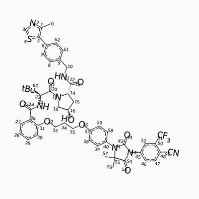 Cc1ncsc1-c1ccc(CNC(=O)[C@@H]2C[C@@H](O)CN2C(=O)[C@@H](NC(=O)c2ccccc2OCCCOc2ccc(N3C(=O)N(c4ccc(C#N)c(C(F)(F)F)c4)C(=O)C3(C)C)cc2)C(C)(C)C)cc1